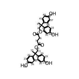 CC(COC(=O)CCC(=O)OCC(C)(c1ccc(O)cc1)c1ccc(O)cc1)(c1ccc(O)cc1)c1ccc(O)cc1